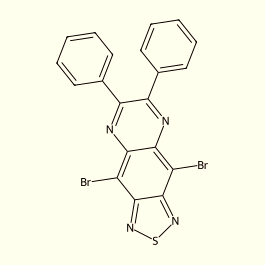 Brc1c2nsnc2c(Br)c2nc(-c3ccccc3)c(-c3ccccc3)nc12